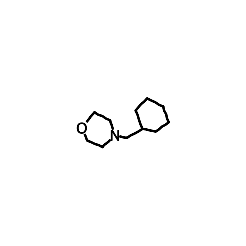 C1CCC(CN2CCOCC2)CC1